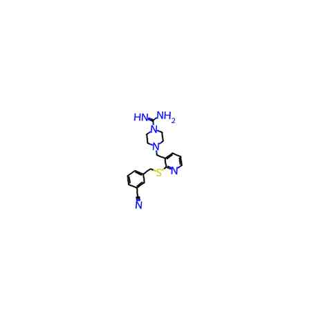 N#Cc1cccc(CSc2ncccc2CN2CCN(C(=N)N)CC2)c1